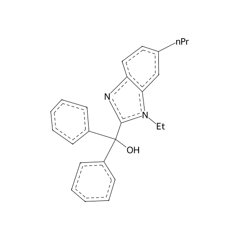 CCCc1ccc2nc(C(O)(c3ccccc3)c3ccccc3)n(CC)c2c1